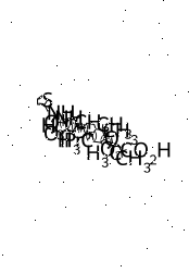 CC(C)C1=C2C3CCC4[C@@]5(C)CC[C@H](OC(=O)CC(C)(C)C(=O)O)C(C)(C)C5CC[C@@]4(C)[C@]3(C)CC[C@@]2(NC(=O)NCc2cccs2)CC1=O